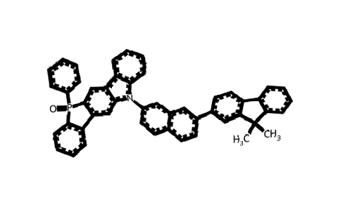 CC1(C)c2ccccc2-c2ccc(-c3ccc4ccc(-n5c6ccccc6c6cc7c(cc65)-c5ccccc5P7(=O)c5ccccc5)cc4c3)cc21